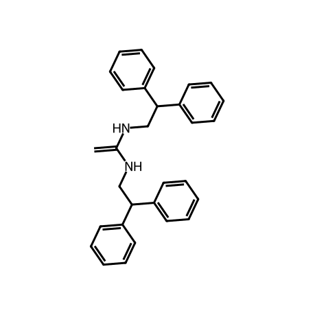 C=C(NCC(c1ccccc1)c1ccccc1)NCC(c1ccccc1)c1ccccc1